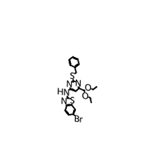 CCOC(OCC)c1cc(Nc2nc3ccc(Br)cc3s2)nc(SCc2ccccc2)n1